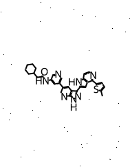 Cc1ccc(-c2nccc3[nH]c(-c4n[nH]c5ncc(-c6cncc(NC(=O)CC7CCCCC7)c6)cc45)cc23)s1